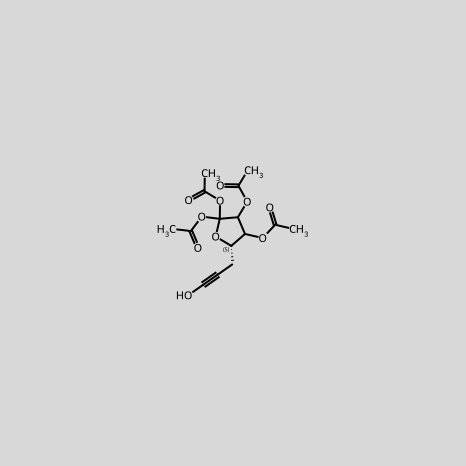 CC(=O)OC1C(OC(C)=O)C(OC(C)=O)(OC(C)=O)O[C@H]1CC#CO